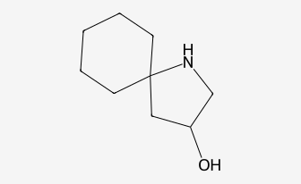 OC1CNC2(CCCCC2)C1